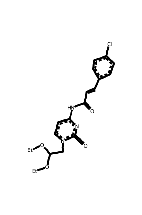 CCOC(Cn1ccc(NC(=O)C=Cc2ccc(Cl)cc2)nc1=O)OCC